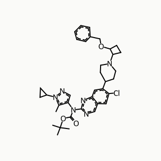 Cc1c(N(C(=O)OC(C)(C)C)c2ncc3cc(Cl)c(C4CCN(C5CCC5OCc5ccccc5)CC4)cc3n2)cnn1C1CC1